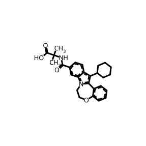 CC(C)(NC(=O)c1ccc2c(C3CCCCC3)c3n(c2c1)CCOc1ccccc1-3)C(=O)O